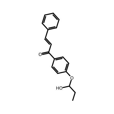 CCC(O)Oc1ccc(C(=O)C=Cc2ccccc2)cc1